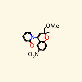 COCC1(C)C=C(n2ccccc2=O)c2cc([N+](=O)[O-])ccc2O1